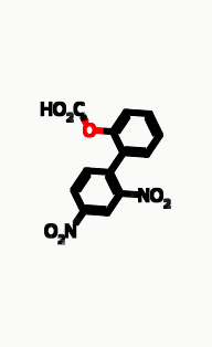 O=C(O)Oc1ccccc1-c1ccc([N+](=O)[O-])cc1[N+](=O)[O-]